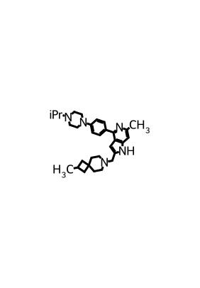 Cc1cc2[nH]c(CN3CCC4(CC3)CC(C)C4)cc2c(-c2ccc(N3CCN(C(C)C)CC3)cc2)n1